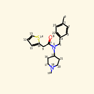 Cc1ccc(CN(C(=O)Cc2cccs2)C2CCN(C)CC2)cc1